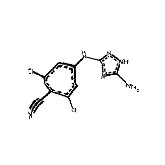 N#Cc1c(Cl)cc(Nc2n[nH]c(N)n2)cc1Cl